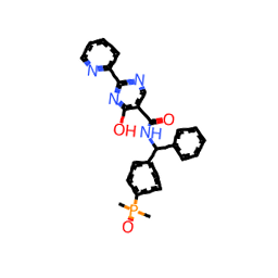 CP(C)(=O)c1ccc(C(NC(=O)c2cnc(-c3ccccn3)nc2O)c2ccccc2)cc1